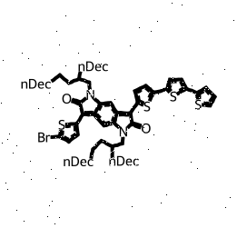 CCCCCCCCCCCCC(CCCCCCCCCC)CN1C(=O)C(c2ccc(Br)s2)=c2cc3c(cc21)=C(c1ccc(-c2ccc(-c4cccs4)s2)s1)C(=O)N3CC(CCCCCCCCCC)CCCCCCCCCCCC